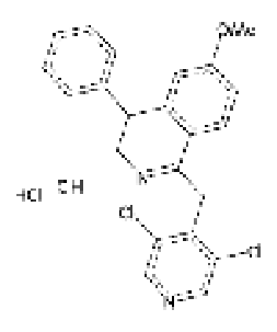 COc1ccc2c(c1)C(c1ccccc1)CN=C2Cc1c(Cl)cncc1Cl.Cl.Cl